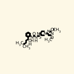 COc1cc(N2CCc3nc(NC(=O)Nc4ccccc4C(O)CCC(C)C)sc3C2)nc(OC)n1